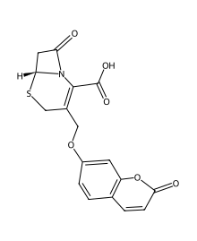 O=C(O)C1=C(COc2ccc3ccc(=O)oc3c2)CS[C@@H]2CC(=O)N12